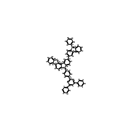 c1ccc(-c2cc(-c3ccccc3)nc(-c3ccc(-n4c5ccc(-c6ccc7c(c6)c6ccccc6n7-c6ccccc6)cc5c5c6sc7ccccc7c6ccc54)cc3)n2)cc1